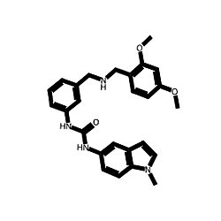 COc1ccc(CNCc2cccc(NC(=O)Nc3ccc4c(ccn4C)c3)c2)c(OC)c1